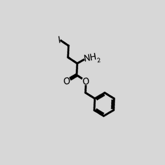 NC(CCI)C(=O)OCc1ccccc1